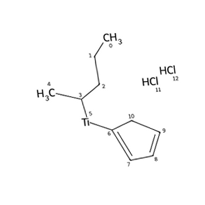 CCC[CH](C)[Ti][C]1=CC=CC1.Cl.Cl